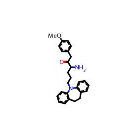 COc1ccc(CC(=O)C(N)CCCN2c3ccccc3CCc3ccccc32)cc1